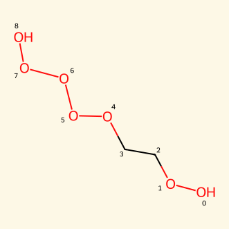 OOCCOOOOO